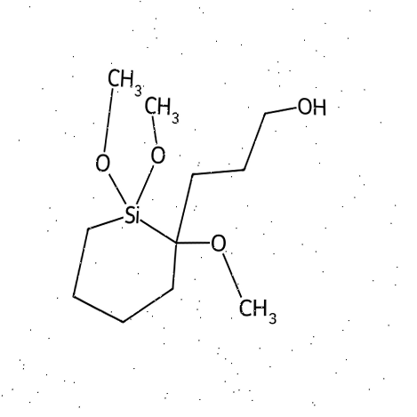 COC1(CCCO)CCCC[Si]1(OC)OC